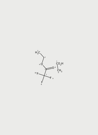 CC(=O)O.CCOC(=O)C(F)(F)F